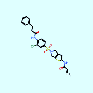 C=CC(=O)Nc1cc2c(s1)CN(S(=O)(=O)c1ccc(NC(=O)CCc3ccccc3)c(Cl)c1)C2